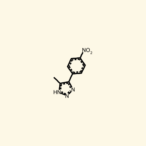 Cc1[nH]nnc1-c1ccc([N+](=O)[O-])cc1